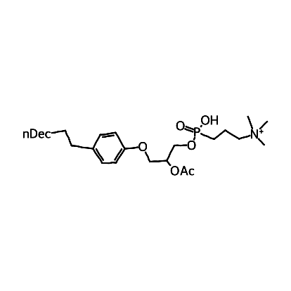 CCCCCCCCCCCCc1ccc(OCC(COP(=O)(O)CCC[N+](C)(C)C)OC(C)=O)cc1